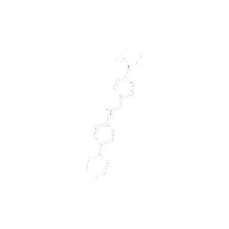 COC(=O)c1ccc(/C=N/c2ccc(C3CCCCC3)cc2)cc1